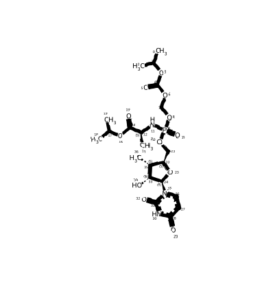 CC(C)OC(=O)OCOP(=O)(N[C@@H](C)C(=O)OC(C)C)OC[C@H]1O[C@@H](n2ccc(=O)[nH]c2=O)[C@H](O)[C@@H]1C